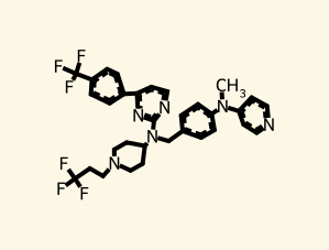 CN(c1ccncc1)c1ccc(CN(c2nccc(-c3ccc(C(F)(F)F)cc3)n2)C2CCN(CCC(F)(F)F)CC2)cc1